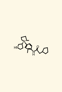 Cc1cc([N+]2(C3CCNC3)CCCC2C)ccc1NC(=O)CC1CCCC1